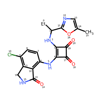 CCC(Nc1c(Nc2ccc(Cl)c3c2C(=O)NC3)c(=O)c1=O)c1ncc(C)o1